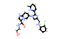 Cc1cccc(-c2nc(CNc3ccccc3F)cn2-c2ccc3ncc(C(=O)NCCO)n3c2)n1